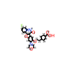 CNC(=O)c1c(-c2ccc(F)cc2)oc2cc(N3CCOCC3)c(OCCc3ccc(C(=O)O)cc3)cc12